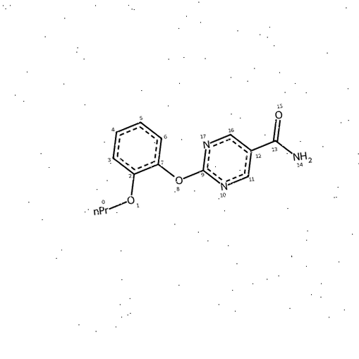 CCCOc1ccccc1Oc1ncc(C(N)=O)cn1